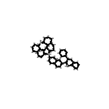 c1ccc(-c2cc3ccccc3nc2-c2ccc3ccc(-n4c5ccc6cccc7sc8cccc9ccc4c(c98)c5c67)cc3c2)cc1